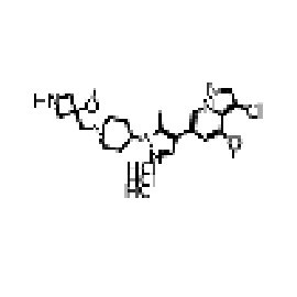 COc1cc(-c2cnn(C3CCN(CC4(OC)CNC4)CC3)c2C)cn2ncc(Cl)c12.Cl.Cl.Cl